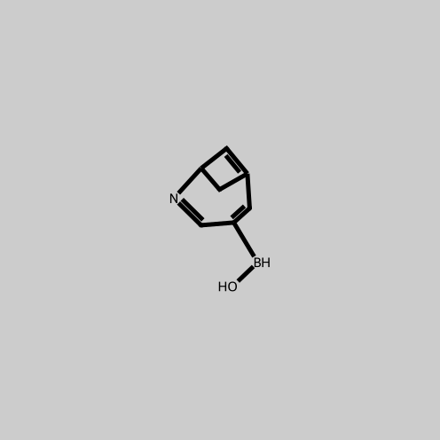 OBC1=CC2=CC(C2)N=C1